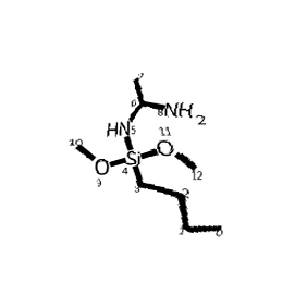 CCCC[Si](NC(C)N)(OC)OC